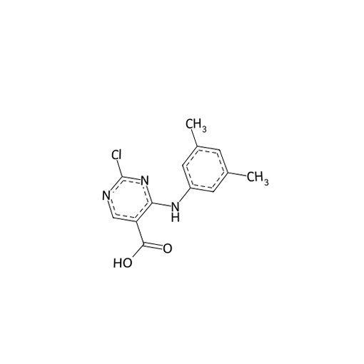 Cc1cc(C)cc(Nc2nc(Cl)ncc2C(=O)O)c1